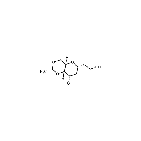 C[C@@H]1OC[C@H]2O[C@H](CCO)C[C@H](O)[C@@H]2O1